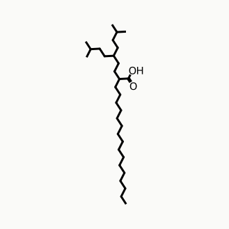 CCCCCCCCCCCCCCCCC(CCC(CCC(C)C)CCC(C)C)C(=O)O